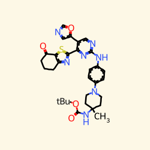 CC1(NC(=O)OC(C)(C)C)CCN(c2ccc(Nc3ncc(-c4cnco4)c(-c4nc5c(s4)C(=O)CCC5)n3)cc2)CC1